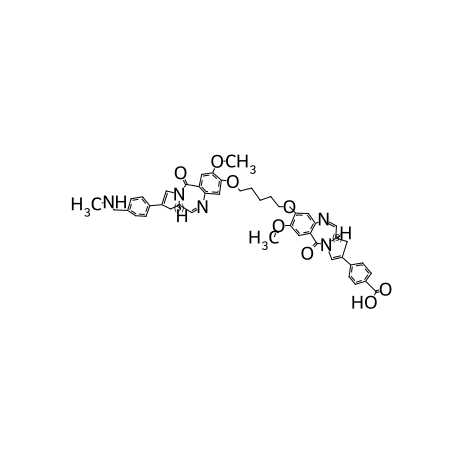 CNCc1ccc(C2=CN3C(=O)c4cc(OC)c(OCCCCCOc5cc6c(cc5OC)C(=O)N5C=C(c7ccc(C(=O)O)cc7)C[C@H]5C=N6)cc4N=C[C@@H]3C2)cc1